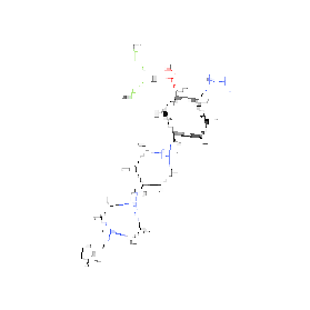 CN1CCN(C2CCN(c3ccc(N)c(OC(F)F)c3)CC2)CC1